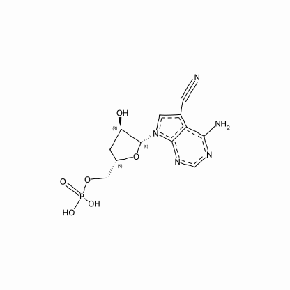 N#Cc1cn([C@@H]2O[C@H](COP(=O)(O)O)C[C@H]2O)c2ncnc(N)c12